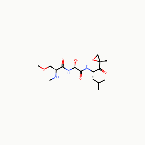 CN[C@@H](COC)C(=O)N[C@@H](O)C(=O)N[C@@H](CC(C)C)C(=O)[C@@]1(C)CO1